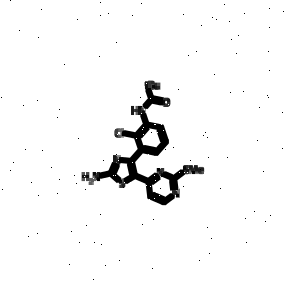 CSc1nccc(-c2sc(N)nc2-c2cccc(NC(=O)C(C)(C)C)c2Cl)n1